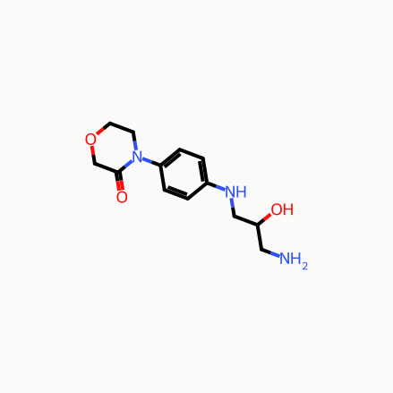 NCC(O)CNc1ccc(N2CCOCC2=O)cc1